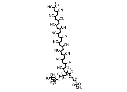 CCC(C)(CC(C)(CC(C#N)CC(C#N)CC(C#N)CC(C#N)CC(C#N)CC(C#N)CC(C#N)CC(C#N)CC(C#N)CC(C#N)CC(C#N)CC(C#N)CC(C#N)CC(C#N)CC(C)C#N)C(=O)OCCNS(C)(=O)=O)C(=O)OC(C)CC(C)(O)C(F)(F)F